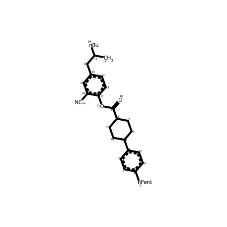 CCCCCc1ccc(C2CCC(C(=O)Oc3ccc(CC(C)CCCC)cc3C#N)CC2)cc1